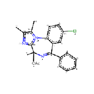 CC(=O)OC1(C)N=C(c2ccccc2)c2cc(Cl)ccc2-n2c1nc(C)c2C